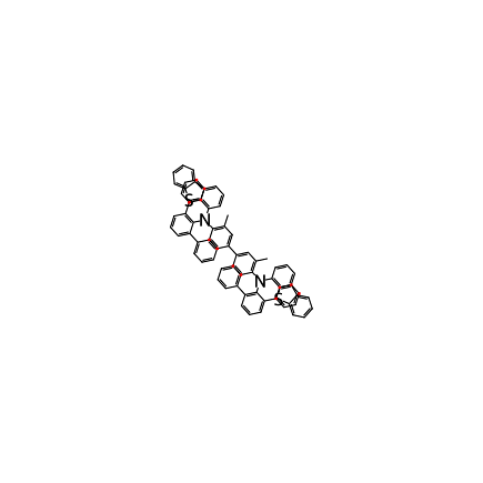 Cc1cc(-c2ccc(N(c3c(-c4ccccc4)cccc3-c3ccccc3)c3cccc4c3sc3ccccc34)c(C)c2)ccc1N(c1c(-c2ccccc2)cccc1-c1ccccc1)c1cccc2c1sc1ccccc12